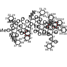 CCC1O[C@@H](O[C@H]2C(C(=O)OC)O[C@@H](O[C@@H]3C(COC(=O)c4ccccc4)O[C@H](OC)C(N=[N+]=[N-])[C@@H]3OCc3ccccc3)C(OC(=O)c3ccccc3)[C@H]2OCc2ccccc2)C(N=[N+]=[N-])[C@@H](OC(=O)c2ccccc2)[C@@H]1O[C@@H]1OC(C(=O)OC)[C@@H](O[C@H]2OC(COC(=O)c3ccccc3)[C@@H](OCc3ccccc3)[C@@H](OCc3ccccc3)C2N=[N+]=[N-])[C@@H](OCc2ccccc2)C1OCc1ccccc1